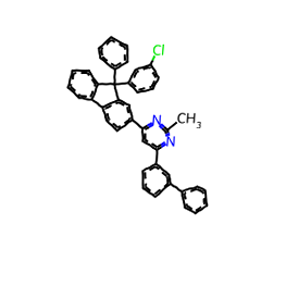 Cc1nc(-c2cccc(-c3ccccc3)c2)cc(-c2ccc3c(c2)C(c2ccccc2)(c2cccc(Cl)c2)c2ccccc2-3)n1